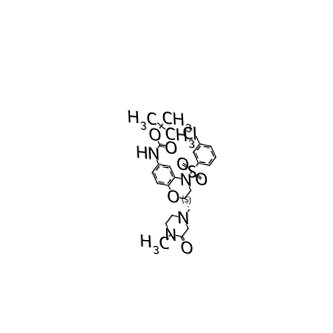 CN1CCN(C[C@H]2CN(S(=O)(=O)c3cccc(Cl)c3)c3cc(NC(=O)OC(C)(C)C)ccc3O2)CC1=O